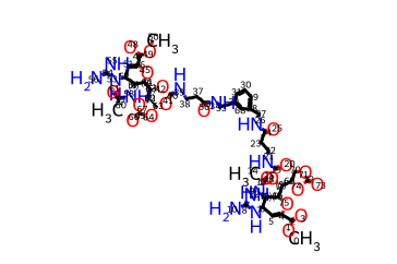 COC(=O)C1=CC(NC(=N)N)[C@@H](NC(C)=O)[C@H]([C@H](OC(=O)NCCC(=O)NCc2cccc(CNC(=O)CCNC(=O)O[C@@H]([C@@H]3OC(C(=O)OC)=CC(NC(=N)N)[C@H]3NC(C)=O)[C@H]3COC(=O)O3)c2)C2COC(=O)O2)O1